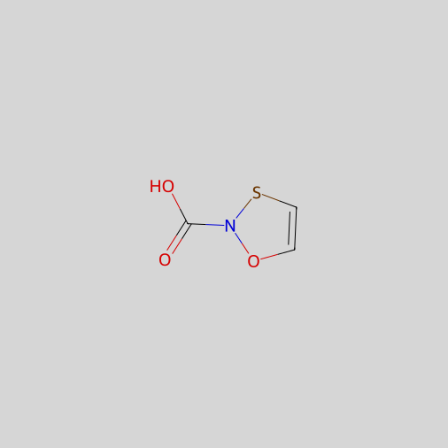 O=C(O)N1OC=CS1